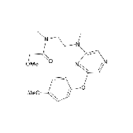 COCC(=O)N(C)CCN(C)c1cncc(Oc2ccc(OC)cc2)n1